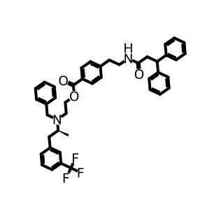 C[C@@H](Cc1cccc(C(F)(F)F)c1)N(CCOC(=O)c1ccc(CCNC(=O)CC(c2ccccc2)c2ccccc2)cc1)Cc1ccccc1